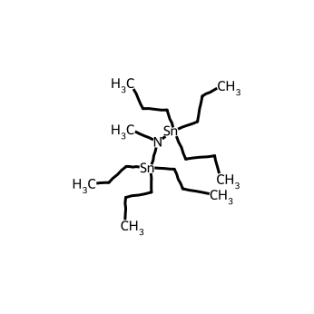 CC[CH2][Sn]([CH2]CC)([CH2]CC)[N](C)[Sn]([CH2]CC)([CH2]CC)[CH2]CC